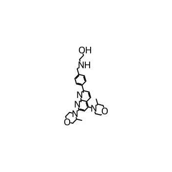 CC1COCCN1c1cc(N2CCOCC2C)c2ccc(-c3ccc(CNCCO)cc3)nc2n1